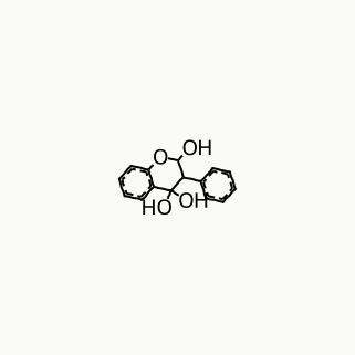 OC1Oc2ccccc2C(O)(O)C1c1ccccc1